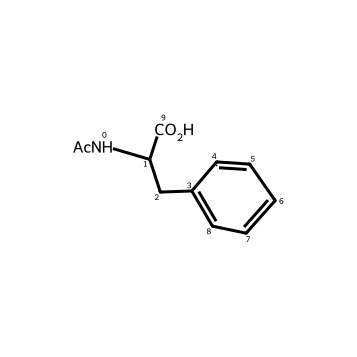 CC(=O)NC(Cc1[c]cccc1)C(=O)O